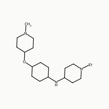 CCN1CCC(NC2CCC(OC3CCN(C)CC3)CC2)CC1